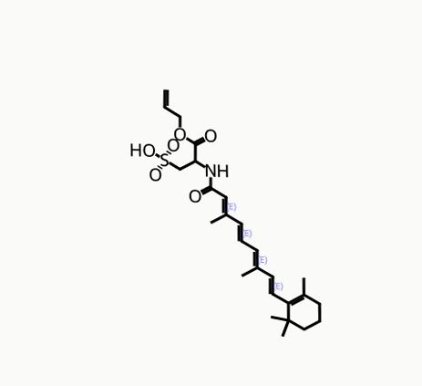 C=CCOC(=O)C(CS(=O)(=O)O)NC(=O)/C=C(C)/C=C/C=C(C)/C=C/C1=C(C)CCCC1(C)C